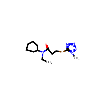 CCN(C(=O)CCSc1nnnn1C)C1CCCCC1